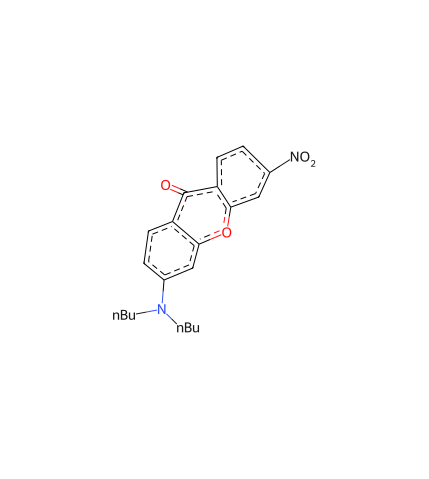 CCCCN(CCCC)c1ccc2c(=O)c3ccc([N+](=O)[O-])cc3oc2c1